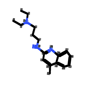 CCN(CC)CCCNc1cc(C)c2ccccc2n1